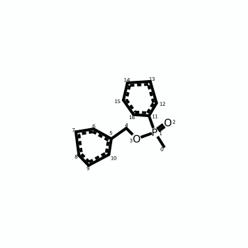 CP(=O)(OCc1ccccc1)c1ccccc1